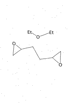 C(CC1CO1)C1CO1.CCOCC